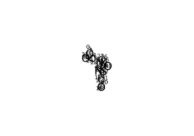 CCOc1cc(C2=NN(C(=O)c3sc(-c4ccc(OC)cc4)nc3C)CCC2)ccc1OC